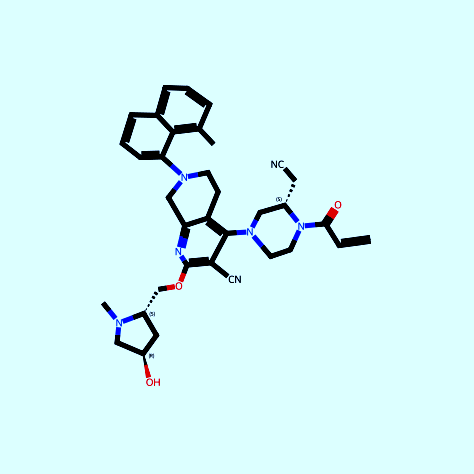 C=CC(=O)N1CCN(c2c(C#N)c(OC[C@@H]3C[C@@H](O)CN3C)nc3c2CCN(c2cccc4cccc(C)c24)C3)C[C@@H]1CC#N